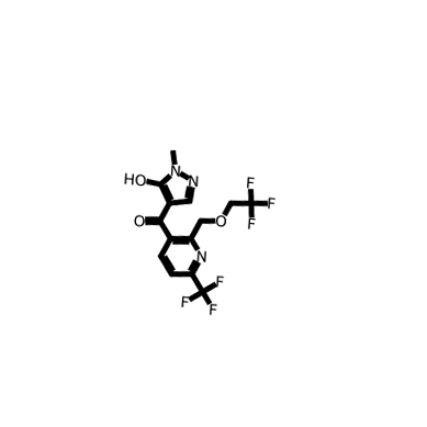 Cn1ncc(C(=O)c2ccc(C(F)(F)F)nc2COCC(F)(F)F)c1O